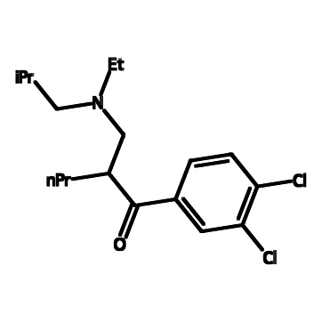 CCCC(CN(CC)CC(C)C)C(=O)c1ccc(Cl)c(Cl)c1